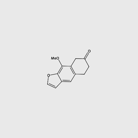 COc1c2c(cc3ccoc13)CCC(=O)C2